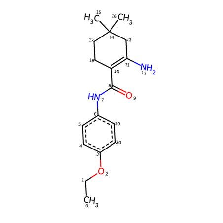 CCOc1ccc(NC(=O)C2=C(N)CC(C)(C)CC2)cc1